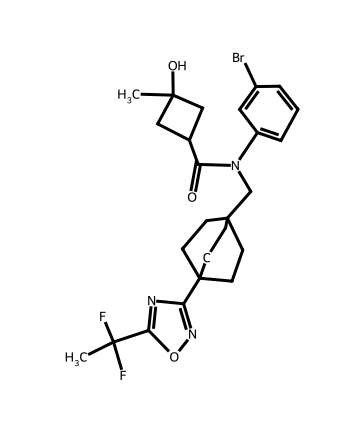 CC1(O)CC(C(=O)N(CC23CCC(c4noc(C(C)(F)F)n4)(CC2)CC3)c2cccc(Br)c2)C1